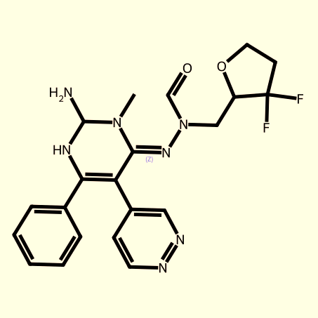 CN1/C(=N\N(C=O)CC2OCCC2(F)F)C(c2ccnnc2)=C(c2ccccc2)NC1N